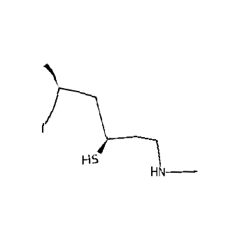 CNC[C@@H](S)C[C@H](C)I